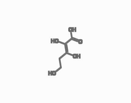 O=C(O)C(O)=C(O)CCO